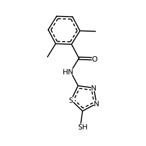 Cc1cccc(C)c1C(=O)Nc1nnc(S)s1